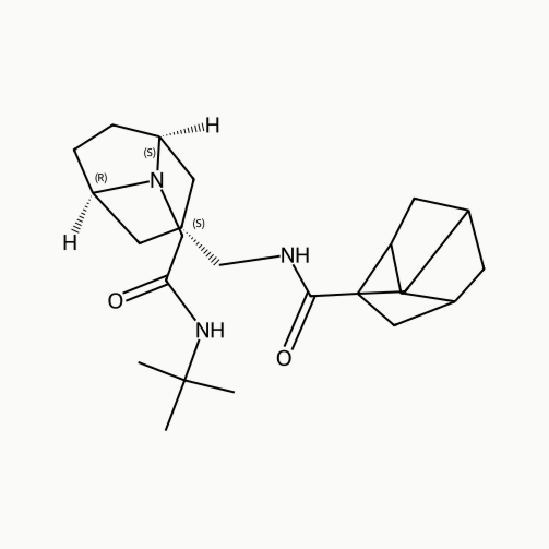 CC(C)(C)NC(=O)CN1[C@@H]2CC[C@H]1C[C@H](CNC(=O)C13CC4CC(CC1C4)C3)C2